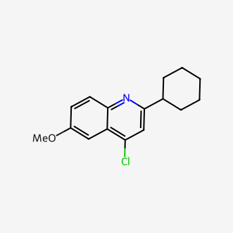 COc1ccc2nc(C3CCCCC3)cc(Cl)c2c1